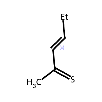 CC/C=C/C(C)=S